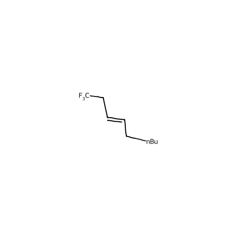 CCCCCC=CCC(F)(F)F